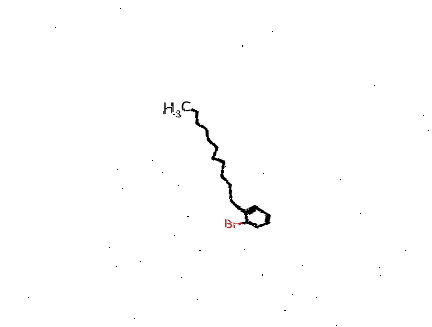 CCCCCCCCCCCc1ccccc1Br